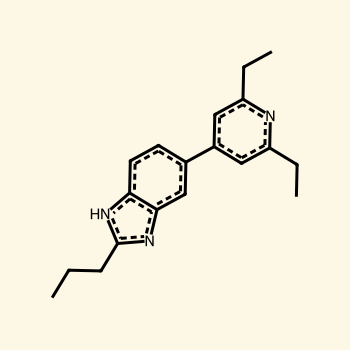 CCCc1nc2cc(-c3cc(CC)nc(CC)c3)ccc2[nH]1